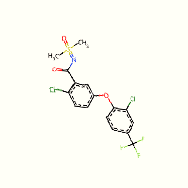 CS(C)(=O)=NC(=O)c1cc(Oc2ccc(C(F)(F)F)cc2Cl)ccc1Cl